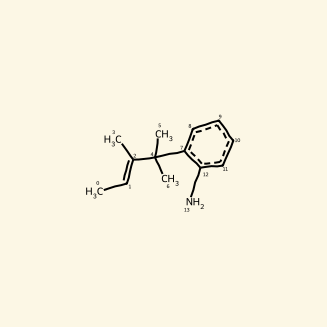 C/C=C(\C)C(C)(C)c1ccccc1N